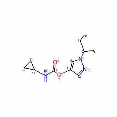 CCC(C)n1cc(OC(=O)NC2CC2)cn1